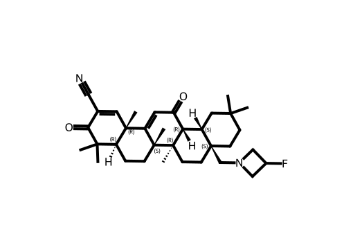 CC1(C)CC[C@]2(CN3CC(F)C3)CC[C@]3(C)[C@H](C(=O)C=C4[C@@]5(C)C=C(C#N)C(=O)C(C)(C)[C@@H]5CC[C@]43C)[C@@H]2C1